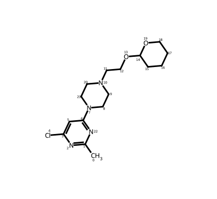 Cc1nc(Cl)cc(N2CCN(CCOC3CCCCO3)CC2)n1